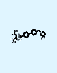 C[C@@H](N)[C@H](NC(=O)c1ccc(-c2ccc(CN3CCC(F)(F)C3)cc2)cc1)C(=O)NO